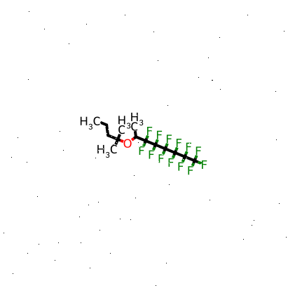 CCCC(C)(C)OC(C)C(F)(F)C(F)(F)C(F)(F)C(F)(F)C(F)(F)C(F)(F)F